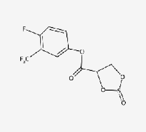 O=C(Oc1ccc(F)c(C(F)(F)F)c1)C1COS(=O)O1